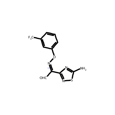 Nc1nc(/C([C]=O)=N\Oc2cccc(C(F)(F)F)c2)ns1